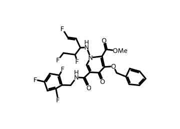 COC(=O)c1c(OCc2ccccc2)c(=O)c(C(=O)NCc2c(F)cc(F)cc2F)cn1NC(C=CF)C(F)CF